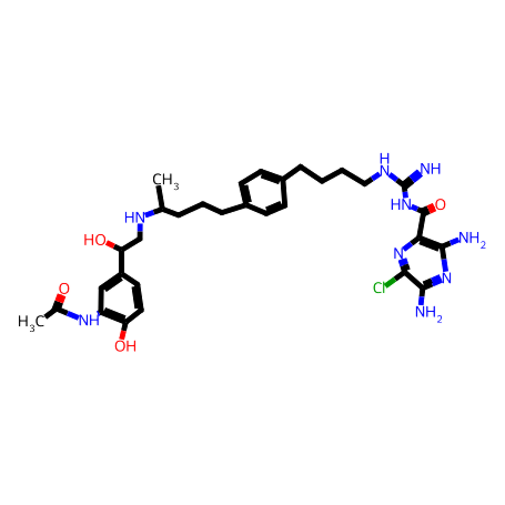 CC(=O)Nc1cc(C(O)CNC(C)CCCc2ccc(CCCCNC(=N)NC(=O)c3nc(Cl)c(N)nc3N)cc2)ccc1O